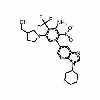 Nc1c([N+](=O)[O-])c(-c2ccc3c(c2)ncn3C2CCCCC2)cc(N2CCC(CO)C2)c1C(F)(F)F